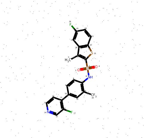 Cc1c(S(=O)(=O)Nc2ccc(-c3ccncc3F)cc2C(F)(F)F)sc2ccc(F)cc12